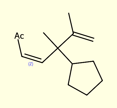 C=C(C)C(C)(/C=C\C(C)=O)C1CCCC1